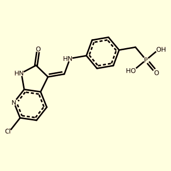 O=C1Nc2nc(Cl)ccc2C1=CNc1ccc(CP(=O)(O)O)cc1